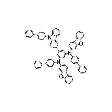 c1ccc(-c2ccc(N(c3cc(-c4ccc5c(c4)c4ccccc4n5-c4ccc(-c5ccccc5)cc4)cc(N(c4ccc(-c5ccccc5)cc4)c4ccc5c(c4)oc4ccccc45)c3)c3ccc4c(c3)oc3ccccc34)cc2)cc1